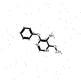 COC1NC=NC(Oc2ccccc2)=C1N